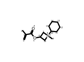 C=C(C)C(=O)OC1C[N+](C)(C2CCCCC2)C1